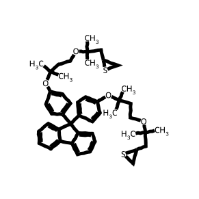 CC(C)(CC1CS1)OCCC(C)(C)Oc1ccc(C2(c3ccc(OC(C)(C)CCOC(C)(C)CC4CS4)cc3)c3ccccc3-c3ccccc32)cc1